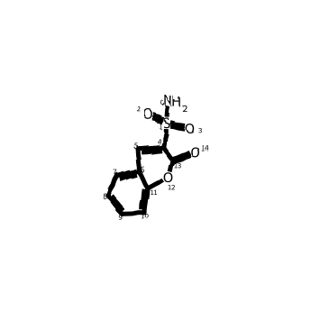 NS(=O)(=O)c1cc2ccccc2oc1=O